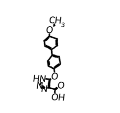 CCOc1ccc(-c2ccc(Oc3[nH]nnc3C(=O)O)cc2)cc1